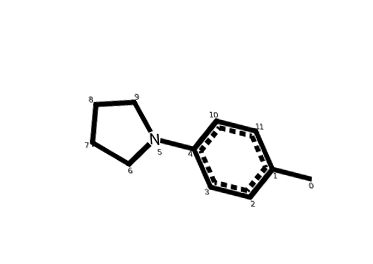 Cc1ccc(N2C[CH]CC2)cc1